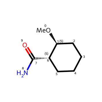 CO[C@H]1CCCC[C@@H]1C(N)=O